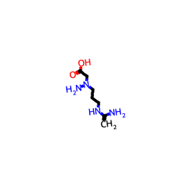 C=C(N)NCCCN(N)CC(=O)O